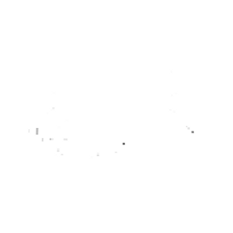 CN(C)C(c1ccc(Cl)cc1)C1CCC(CNC(=O)COCCN(C)S(=O)(=O)c2ccc(Cl)cc2Cl)CC1